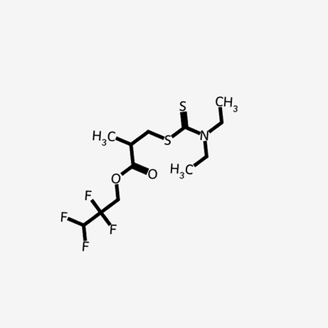 CCN(CC)C(=S)SCC(C)C(=O)OCC(F)(F)C(F)F